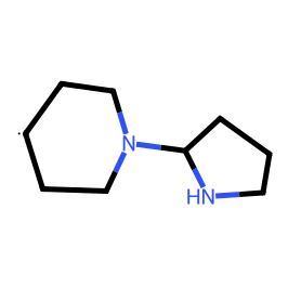 [CH]1CCN(C2CCCN2)CC1